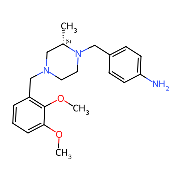 COc1cccc(CN2CCN(Cc3ccc(N)cc3)[C@@H](C)C2)c1OC